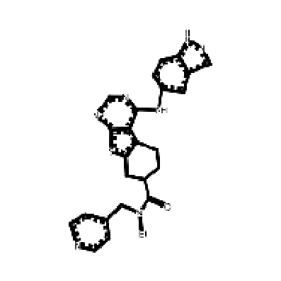 CCN(Cc1ccncc1)C(=O)C1CCc2c(sc3ncnc(Nc4ccc5[nH]ncc5c4)c23)C1